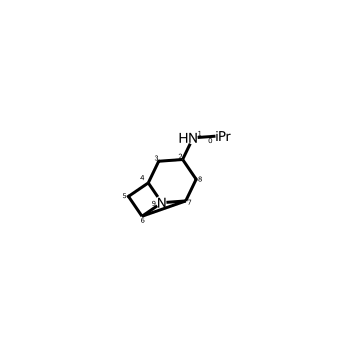 CC(C)NC1CC2CC3C(C1)N23